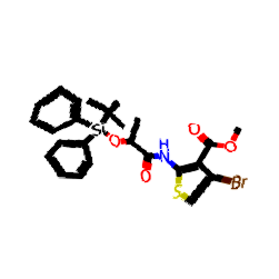 COC(=O)c1c(Br)csc1NC(=O)C(C)O[Si](c1ccccc1)(c1ccccc1)C(C)(C)C